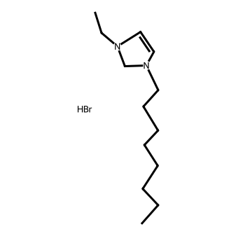 Br.CCCCCCCCN1C=CN(CC)C1